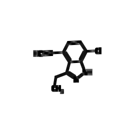 C#Cc1ccc(Cl)c2[nH]nc(CC)c12